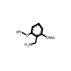 CCCOc1cccc(OC)c1CN